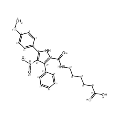 COc1ccc(-c2[nH]c(C(=O)NCCCCCC(=O)O)c(-c3ccccc3)c2[N+](=O)[O-])cc1